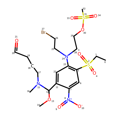 CCS(=O)(=O)c1cc([N+](=O)[O-])c(C(OC)N(C)CCCC=O)cc1N(CCBr)CCOS(C)(=O)=O